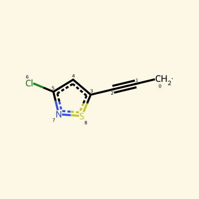 [CH2]C#Cc1cc(Cl)ns1